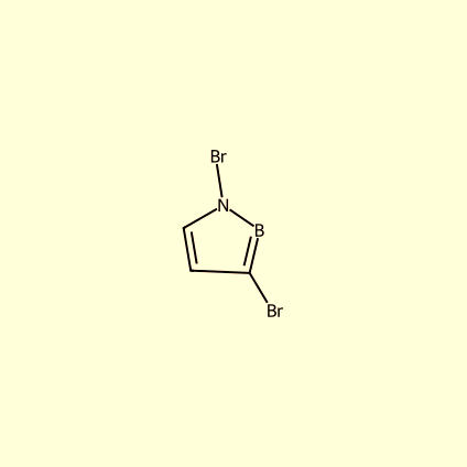 Brc1bn(Br)cc1